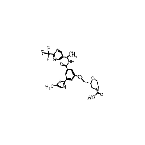 Cc1cnc(-c2cc(OC[C@H]3CN(C(=O)O)CCO3)cc(C(=O)NC(C)c3cnc(C(F)(F)F)nc3)c2)s1